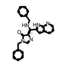 O=C1/C(=C(\NCc2ccccc2)c2cc3cccnc3[nH]2)N=CN1Cc1ccccc1